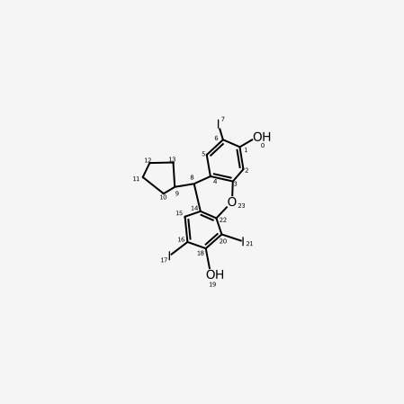 Oc1cc2c(cc1I)C(C1CCCC1)c1cc(I)c(O)c(I)c1O2